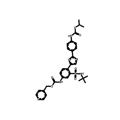 CC(C)OC(=O)Nc1ccc(-c2ncc(-c3ccc(NC(=O)OCc4ccncc4)cc3S(=O)(=O)NC(C)(C)C)s2)cc1